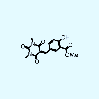 COC(=O)c1cc(C=C2C(=O)N(C)C(=O)N(C)C2=O)ccc1O